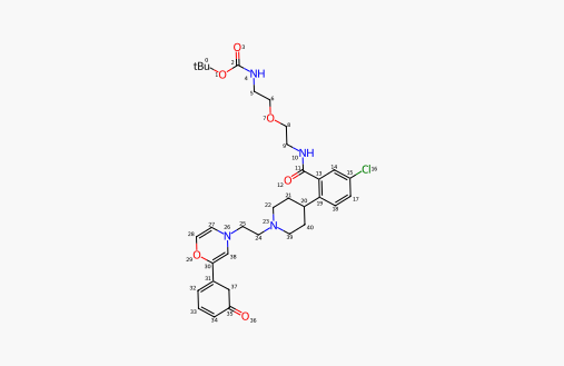 CC(C)(C)OC(=O)NCCOCCNC(=O)c1cc(Cl)ccc1C1CCN(CCN2C=COC(C3=CC=CC(=O)C3)=C2)CC1